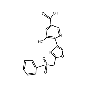 O=C(O)c1cnc(-c2noc(CS(=O)(=O)c3ccccc3)n2)c(O)c1